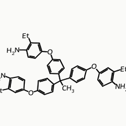 CCc1cc(Oc2ccc(C(C)(c3ccc(Oc4ccc(N)c(CC)c4)cc3)c3ccc(Oc4ccc(N)c(CC)c4)cc3)cc2)ccc1N